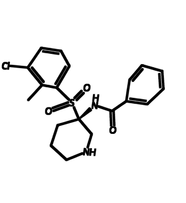 Cc1c(Cl)cccc1S(=O)(=O)[C@@]1(NC(=O)c2ccccc2)CCCNC1